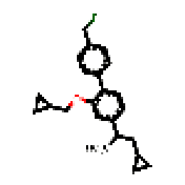 O=C(O)C(CC1CC1)c1ccc(-c2ccc(CF)cc2)c(OCC2CC2)c1